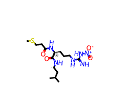 CSCCC(=O)N[C@@H](CCCNC(=N)N[N+](=O)[O-])C(=O)N[CH]CC(C)C